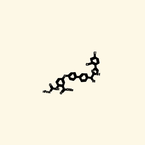 CCCCCC(=O)Nc1ccc(Oc2ccc(-c3ccc(C(CC)c4nc(-c5ccc(Cl)cc5Cl)c[nH]4)cc3)cc2)cc1C(=O)OC